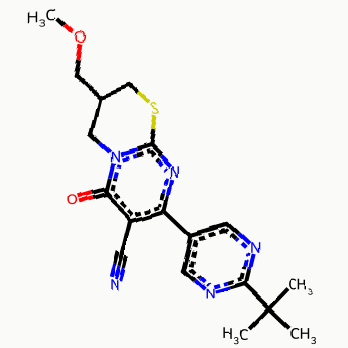 COCC1CSc2nc(-c3cnc(C(C)(C)C)nc3)c(C#N)c(=O)n2C1